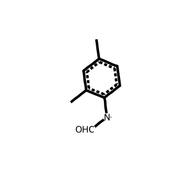 Cc1ccc([N]C=O)c(C)c1